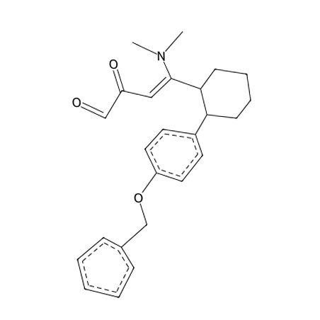 CN(C)C(=CC(=O)C=O)C1CCCCC1c1ccc(OCc2ccccc2)cc1